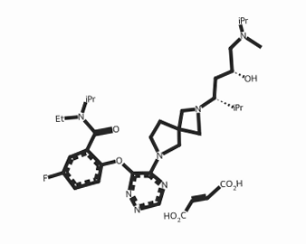 CCN(C(=O)c1cc(F)ccc1Oc1nncnc1N1CCC2(C1)CN([C@H](C[C@@H](O)CN(C)C(C)C)C(C)C)C2)C(C)C.O=C(O)/C=C/C(=O)O